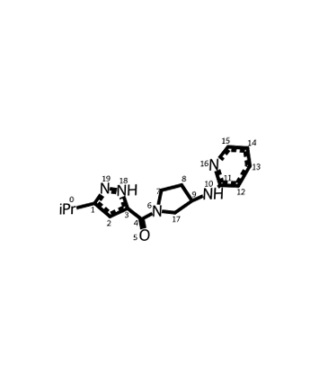 CC(C)c1cc(C(=O)N2CCC(Nc3ccccn3)C2)[nH]n1